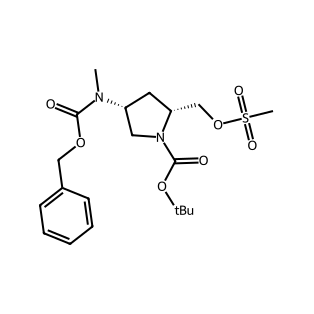 CN(C(=O)OCc1ccccc1)[C@@H]1C[C@H](COS(C)(=O)=O)N(C(=O)OC(C)(C)C)C1